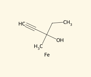 C#CC(C)(O)CC.[Fe]